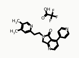 Cc1cnc(CCN2Cc3nccc(-c4ccncc4)c3C2=O)cc1C.O=C(O)C(F)(F)F